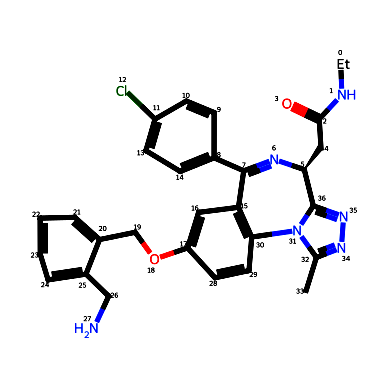 CCNC(=O)C[C@@H]1N=C(c2ccc(Cl)cc2)c2cc(OCc3ccccc3CN)ccc2-n2c(C)nnc21